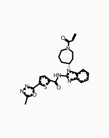 C=CC(=O)N1CCC[C@@H](n2c(NC(=O)c3ccc(-c4nnc(C)o4)s3)nc3ccccc32)CC1